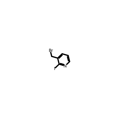 BrCc1cccnc1I